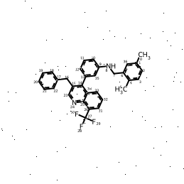 Cc1ccc(C)c(CNc2cccc(-c3c(Cc4ccccc4)cnc4c(C(F)(F)F)cccc34)c2)c1